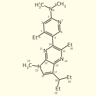 CCc1cc(N(C)C)ncc1-c1nc2c(nc1CC)c(C(CC)CC)cn2C